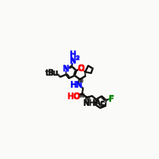 CC(=O)N[C@@H](Cc1cccc(F)c1)[C@@H](O)CN[C@H]1CC2(CCC2)Oc2c1cc(CC(C)(C)C)nc2N